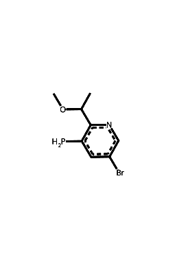 COC(C)c1ncc(Br)cc1P